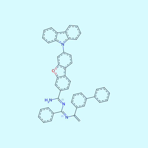 C=C(/N=C(\N=C(/N)c1ccc2c(c1)oc1cc(-n3c4ccccc4c4ccccc43)ccc12)c1ccccc1)c1cccc(-c2ccccc2)c1